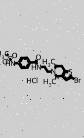 C[C@@H]1Cc2sc(Br)cc2[C@H](C)N1CCNC(=O)c1ccc(NS(C)(=O)=O)cc1.Cl